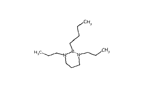 CCCCB1N(CCC)CCCN1CCC